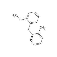 CCc1ccccc1Cc1ccccc1C